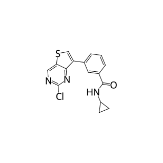 O=C(NC1CC1)c1cccc(-c2csc3cnc(Cl)nc23)c1